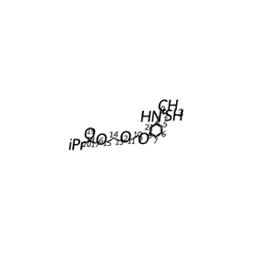 CC(S)Nc1cccc(OCCOCCCOCC(=O)C(C)C)c1